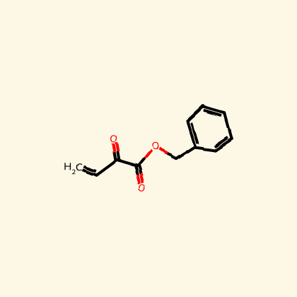 C=CC(=O)C(=O)OCc1ccccc1